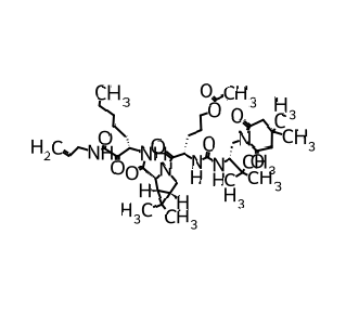 C=CCNC(=O)C(=O)[C@H](CCCCC)NC(=O)[C@@H]1[C@@H]2[C@H](CN1C(=O)[C@H](CCCOC(C)=O)NC(=O)N[C@H](CN1C(=O)CC(C)(C)CC1=O)C(C)(C)C)C2(C)C